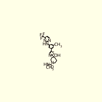 CNC(=O)N1CCCC(O)(c2ncc(-c3cc(C)cc(Nc4nccc(C(F)(F)F)n4)c3)s2)CC1